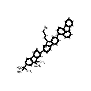 CC(C)(C)c1ccc2c(c1)C(C)(C)c1cc(-c3ccc4c(c3)C(CCCO)c3cc(-c5ccc6c7c(cccc57)-c5ccccc5-6)ccc3-4)ccc1-2